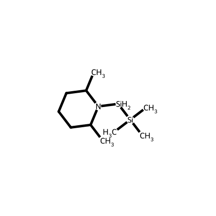 CC1CCCC(C)N1[SiH2][Si](C)(C)C